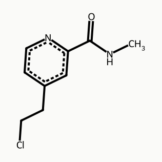 CNC(=O)c1cc(CCCl)ccn1